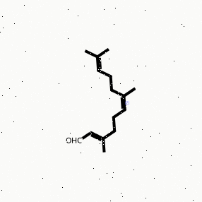 CC(C)=CCC/C(C)=C\CCC(C)=CC=O